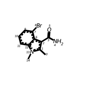 Cc1c(C(N)=O)c2c(Br)cccc2n1C